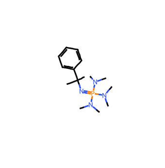 CN(C)P(=NC(C)(C)c1ccccc1)(N(C)C)N(C)C